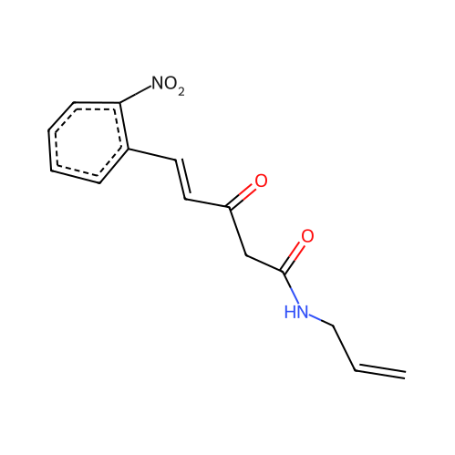 C=CCNC(=O)CC(=O)C=Cc1ccccc1[N+](=O)[O-]